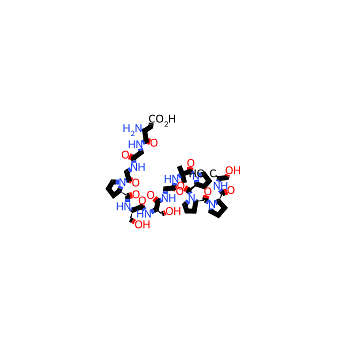 CC(C)(NC(=O)CNC(=O)[C@H](CO)NC(=O)[C@H](CO)NC(=O)[C@@H]1CCCN1C(=O)CNC(=O)CNC(=O)[C@@H](N)CC(=O)O)C(=O)N1CCC[C@H]1C(=O)N1CCC[C@H]1C(=O)N1CCC[C@H]1C(=O)N[C@@H](CO)C(=O)O